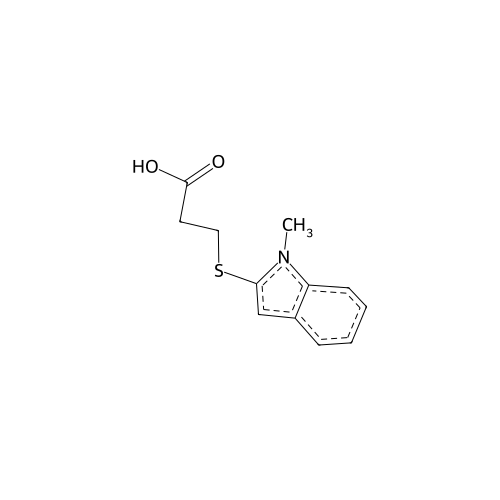 Cn1c(SCCC(=O)O)cc2ccccc21